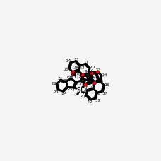 C[Si]1(C)C2=C(c3cccc4ccc5ccccc5c34)[CH](c3ccccc32)[Hf]([CH3])([CH3])[CH]2C(c3cccc4ccc5ccccc5c34)=C1c1ccccc12